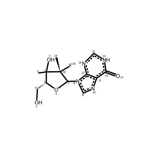 CC1(O)[C@@H](CO)OC(n2cnc3c(=O)[nH]cnc32)[C@@]1(C)F